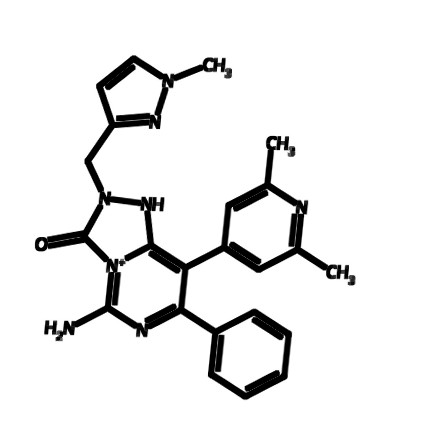 Cc1cc(-c2c(-c3ccccc3)nc(N)[n+]3c(=O)n(Cc4ccn(C)n4)[nH]c23)cc(C)n1